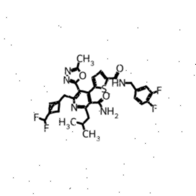 Cc1nnc(-c2c(CC34CC(C(F)F)(C3)C4)nc(CC(C)C)c(C(N)=O)c2-c2ccc(C(=O)NCc3ccc(F)c(F)c3)s2)o1